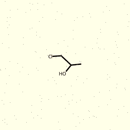 CC(O)[CH]Cl